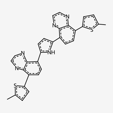 Cc1ccc(-c2ccc(-c3ccc(-c4ccc(-c5ccc(C)s5)c5nccnc45)[nH]3)c3nccnc23)s1